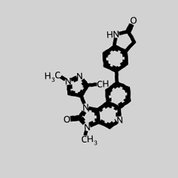 Cc1nn(C)cc1-n1c(=O)n(C)c2cnc3ccc(-c4ccc5c(c4)CC(=O)N5)cc3c21